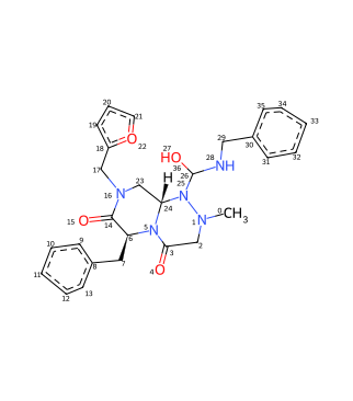 CN1CC(=O)N2[C@@H](Cc3ccccc3)C(=O)N(Cc3ccco3)C[C@@H]2N1C(O)NCc1ccccc1